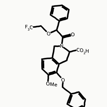 COc1ccc2c(c1OCc1ccccc1)CC(C(=O)O)N(C(=O)C(OCC(F)(F)F)c1ccccc1)C2